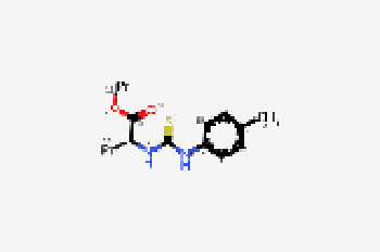 Cc1ccc(NC(=S)N[C@H](C(=O)OC(C)C)C(C)C)cc1